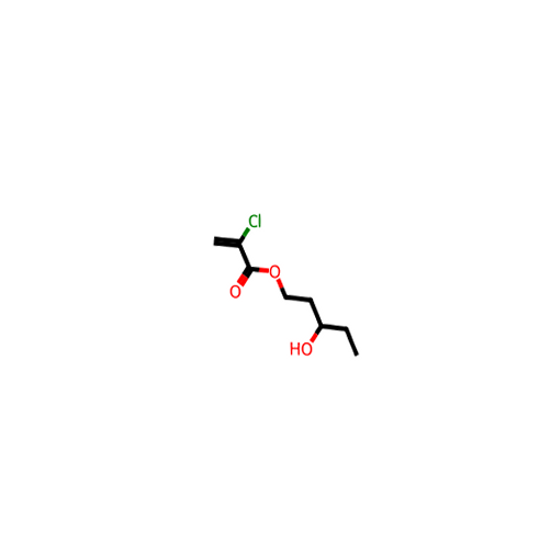 C=C(Cl)C(=O)OCCC(O)CC